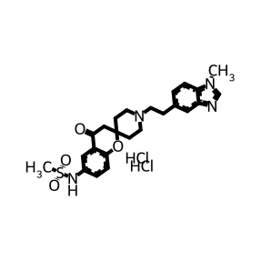 Cl.Cl.Cn1cnc2cc(CCN3CCC4(CC3)CC(=O)c3cc(NS(C)(=O)=O)ccc3O4)ccc21